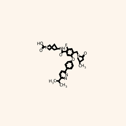 CC1CC(=O)N(Cc2cc(F)c(C(=O)NC3CC4(C3)CN(C(=O)O)C4)cc2Oc2ccc(-c3ccc(C(C)C)nn3)cc2)C1